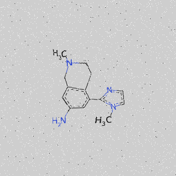 CN1CCc2c(cc(N)cc2-c2nccn2C)C1